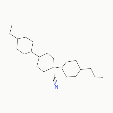 CCCC1CCC(C2(C#N)CCC(C3CCC(CC)CC3)CC2)CC1